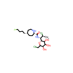 C[C@H](Cl)[C@@H](NC(=O)[C@@H]1CC[C@H](CCCCF)CCN1)[C@H]1OC(CCl)[C@H](O)C(O)C1O